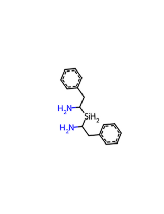 NC(Cc1ccccc1)[SiH2]C(N)Cc1ccccc1